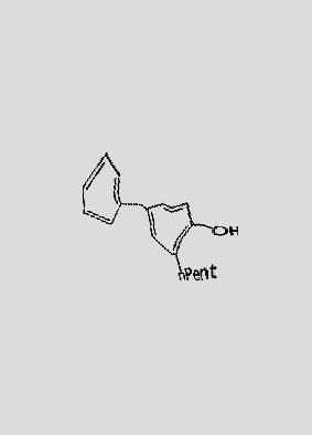 CCCCCc1cc(-c2ccccc2)ccc1O